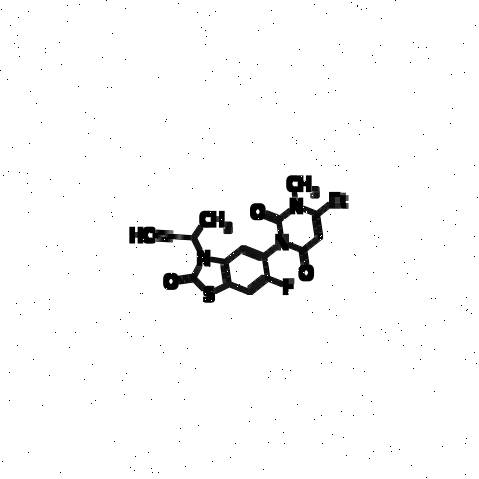 C#CC(C)n1c(=O)sc2cc(F)c(-n3c(=O)cc(CC)n(C)c3=O)cc21